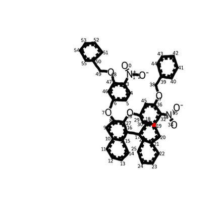 O=[N+]([O-])c1ccc(Oc2cc3ccccc3c(-c3cccc4ccccc34)c2Oc2ccc([N+](=O)[O-])c(OCc3ccccc3)c2)cc1OCc1ccccc1